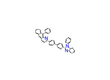 c1ccc(-c2c3ccccc3cc3ccc(-c4ccc(-c5ccc(-c6nc7ccccc7n6-c6ccccc6)cc5)cc4)nc23)cc1